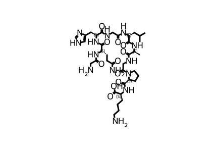 CC(C)C[C@H](NC(=O)CNC(=O)[C@H](Cc1c[nH]cn1)NC(=O)[C@H](CCC(N)=O)NC(=O)CN)C(=O)N[C@@H](C)C(=O)NCC(=O)N1CCC[C@H]1C(=O)N[C@@H](CCCCN)C(=O)O